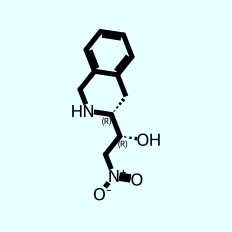 O=[N+]([O-])C[C@@H](O)[C@H]1Cc2ccccc2CN1